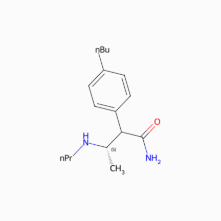 CCCCc1ccc(C(C(N)=O)[C@H](C)NCCC)cc1